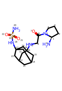 N[C@@H]1CCCN1C(=O)CNC12CC3CC(C1)CC(NS(N)(=O)=O)(C3)C2